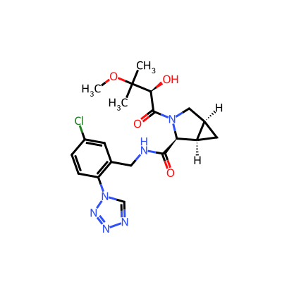 COC(C)(C)[C@@H](O)C(=O)N1C[C@H]2C[C@H]2[C@H]1C(=O)NCc1cc(Cl)ccc1-n1cnnn1